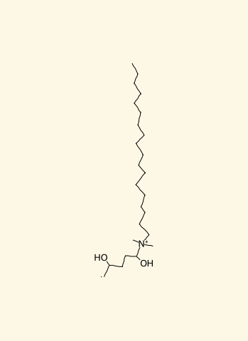 [CH2]C(O)CCC(O)[N+](C)(C)CCCCCCCCCCCCCCCCCC